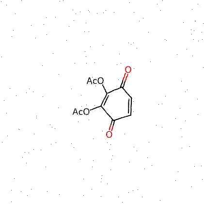 CC(=O)OC1=C(OC(C)=O)C(=O)C=CC1=O